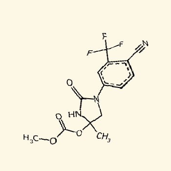 COC(=O)OC1(C)CN(c2ccc(C#N)c(C(F)(F)F)c2)C(=O)N1